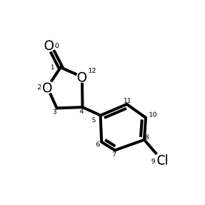 O=C1OCC(c2ccc(Cl)cc2)O1